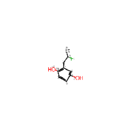 CCC(F)Cc1cc(O)ccc1O